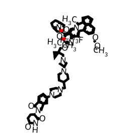 CCc1cccc2cc(OCOC)cc(-c3ncc4c(N5CC6CCC(C5)N6C(=O)OC(C)(C)C)nc(OCC5(CN6CC(N7CCC(CN8CCN(c9ccc%10c(c9)CN([C@H]9CCC(=O)NC9=O)C%10=O)CC8)CC7)C6)CC5)nc4c3F)c12